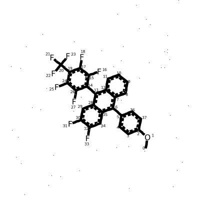 COc1ccc(-c2c3ccccc3c(-c3c(F)c(F)c(C(F)(F)F)c(F)c3F)c3cc(F)c(F)cc23)cc1